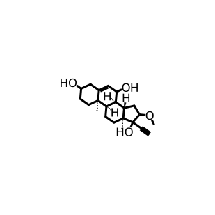 C#CC1(O)C(OC)C[C@H]2[C@@H]3C(O)C=C4CC(O)CC[C@]4(C)[C@@H]3CC[C@@]21C